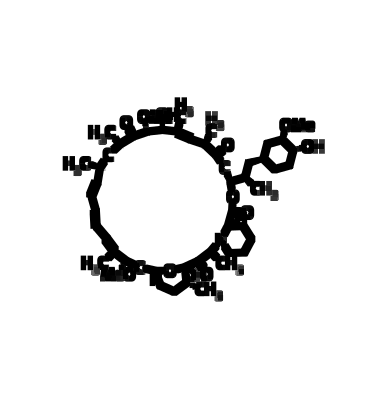 CO[C@H]1C[C@@H]2CC[C@@H](C)[C@@](O)(O2)C(=O)C(C)N2CCCC[C@H]2C(=O)O[C@H]([C@H](C)C[C@@H]2CC[C@@H](O)[C@H](OC)C2)CC(=O)[C@H](C)/C=C(\C)[C@@H](O)[C@@H](OC)C(=O)[C@H](C)C[C@H](C)/C=C/C=C/C=C/1C